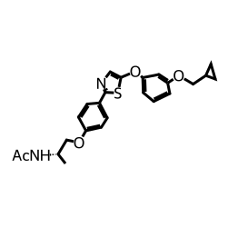 CC(=O)N[C@@H](C)COc1ccc(-c2ncc(Oc3cccc(OCC4CC4)c3)s2)cc1